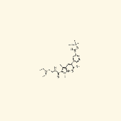 CCN(CC)CCNC(=O)c1c(C)[nH]c(/C=C2\C(=O)Nc3ccc(B4OC(C)(C)C(C)(C)O4)cc32)c1C